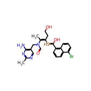 C/C(=C(CCO)/[SH]=C(\O)c1cccc2c(Br)cccc12)N(C=O)Cc1cnc(C)nc1N